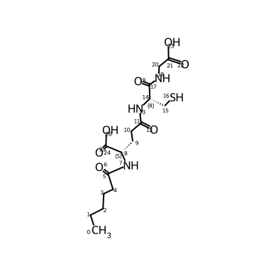 CCCCCC(=O)N[C@@H](CCC(=O)N[C@@H](CS)C(=O)NCC(=O)O)C(=O)O